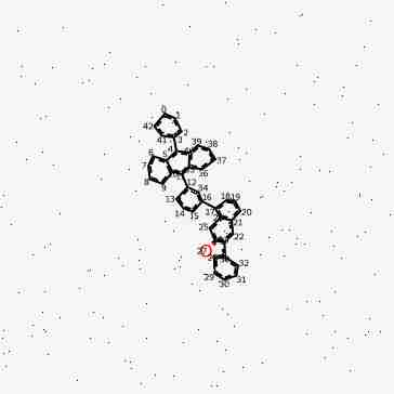 c1ccc(-c2c3ccccc3c(-c3cccc(-c4cccc5cc6c(cc45)oc4ccccc46)c3)c3ccccc23)cc1